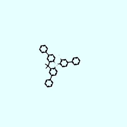 CC1(C)c2cc(-c3ccccc3)ccc2N(c2ccc(-c3ccccc3)cc2F)c2ccc(-c3ccccc3)cc21